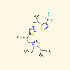 CCc1c(C(C)C)sc[n+]1CC(C)c1c[n+](CC(C)c2scnc2C(F)(F)F)cs1